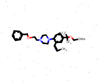 C/C=C\c1cc(C(OCOC)(C(F)(F)F)C(F)(F)F)ccc1N1CCN(CCOCc2ccccc2)CC1